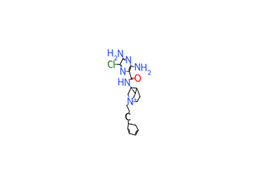 Nc1nc(N)c(C(=O)NC2C[N+]3(CCCC4C=CC=CC4)CCC2CC3)nc1Cl